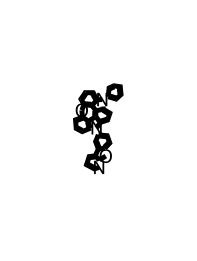 c1ccc(-n2c3cccc4oc5cccc6c5c5c(c43)c2ccc5n6-c2ccc3oc4ncccc4c3c2)cc1